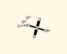 O=S(=O)(O)O.[Cr+4].[O-2].[O-2]